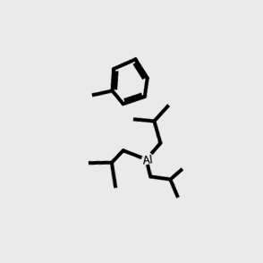 CC(C)[CH2][Al]([CH2]C(C)C)[CH2]C(C)C.Cc1ccccc1